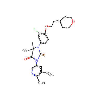 CCCC1(C)C(=O)N(c2cnc(C#N)c(C(F)(F)F)c2)C(=S)N1c1ccc(OCCC2CCOCC2)c(F)c1